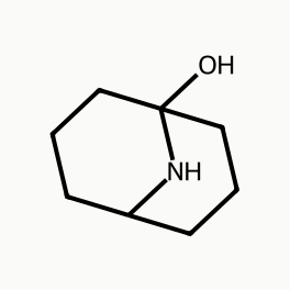 OC12CCCC(CCC1)N2